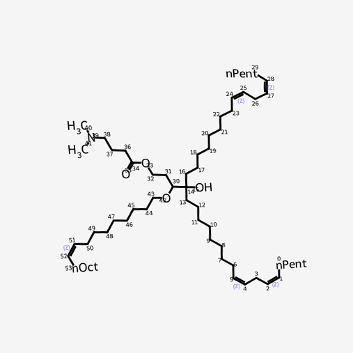 CCCCC/C=C\C/C=C\CCCCCCCCC(O)(CCCCCCCC/C=C\C/C=C\CCCCC)C(CCOC(=O)CCCN(C)C)OCCCCCCCC/C=C\CCCCCCCC